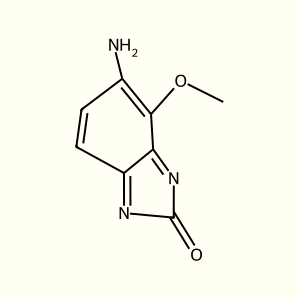 COc1c(N)ccc2c1=NC(=O)N=2